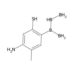 BBB(B)c1cc(C)c(N)cc1S